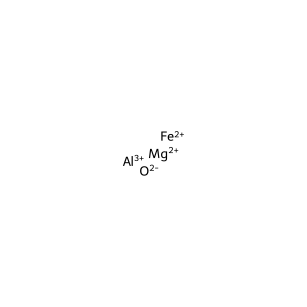 [Al+3].[Fe+2].[Mg+2].[O-2]